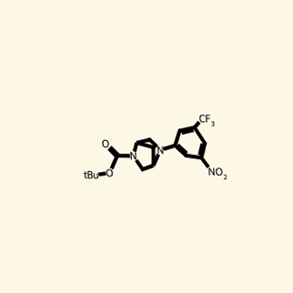 CC(C)(C)OC(=O)N1CC2CC1CN2c1cc([N+](=O)[O-])cc(C(F)(F)F)c1